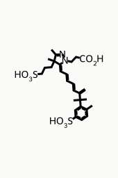 C=C(/C=C/C=C/C=C1\N(CCC(=O)O)N=C(C)C1(C)CCCS(=O)(=O)O)C(C)(C)c1cc(S(=O)(=O)O)ccc1C